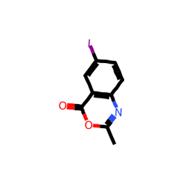 Cc1nc2ccc(I)cc2c(=O)o1